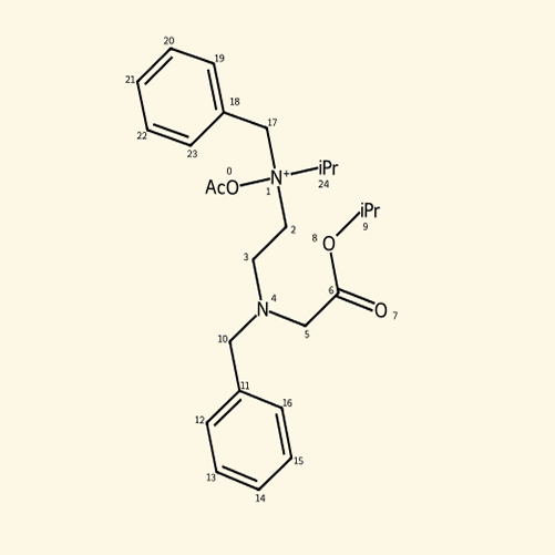 CC(=O)O[N+](CCN(CC(=O)OC(C)C)Cc1ccccc1)(Cc1ccccc1)C(C)C